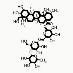 C[C@H]1[C@H](C)CC[C@]2(C(=O)OC3O[C@H](CO[C@H]4O[C@H](CO)[C@@H](O[C@@H]5O[C@@H](C)[C@H](O)[C@@H](O)[C@H]5O)[C@H](O)[C@H]4O)[C@@H](O)[C@H](O)[C@H]3O)CC[C@]3(I)C(=CCC4[C@@]5(C)C[C@@H](O)[C@H](O)[C@@](C)(CO)[C@@H]5CC[C@]43C)[C@H]12